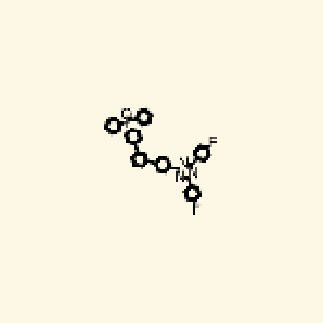 O=P(c1ccccc1)(c1ccccc1)c1ccc(-c2cccc(-c3ccc(-c4nc(-c5ccc(F)cc5)nc(-c5ccc(F)cc5)n4)cc3)c2)cc1